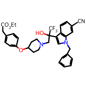 CCOC(=O)Cc1ccc(OC2CCN(CC(O)(c3cn(Cc4ccccc4)c4cc(C#N)ccc34)C(F)(F)F)CC2)cc1